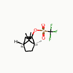 CC1(C)[C@H]2C=C(OS(=O)(=O)C(F)(F)F)[C@@]1(C)CC2